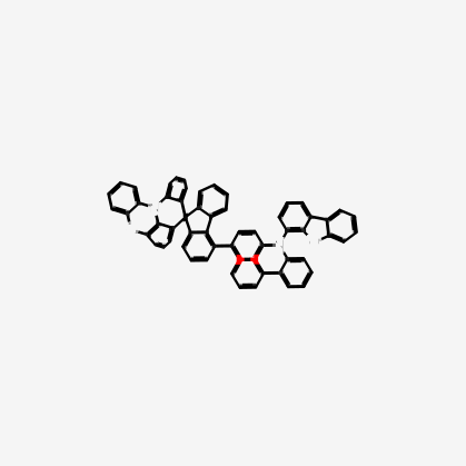 c1ccc(-c2ccccc2N(c2ccc(-c3cccc4c3-c3ccccc3C43c4ccccc4N4c5ccccc5Oc5cccc3c54)cc2)c2cccc3c2oc2ccccc23)cc1